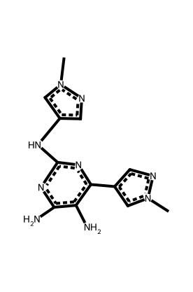 Cn1cc(Nc2nc(N)c(N)c(-c3cnn(C)c3)n2)cn1